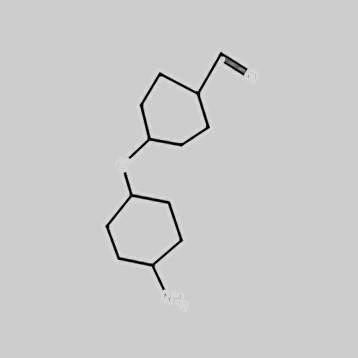 NC1CCC(OC2CCC(C=O)CC2)CC1